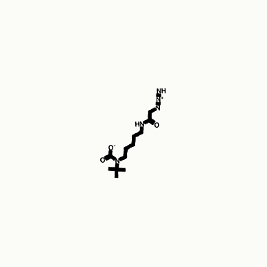 CC(C)(C)N(CCCCCNC(=O)CN=[N+]=N)C(=O)[O-]